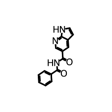 O=C(NC(=O)c1cnc2[nH]ccc2c1)c1ccccc1